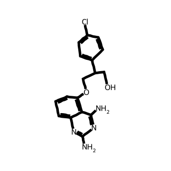 Nc1nc(N)c2c(OCC(CO)c3ccc(Cl)cc3)cccc2n1